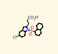 O=C(O)CCc1cc2cc(Cl)ccc2n1S(=O)(=O)c1cccc2ccccc12